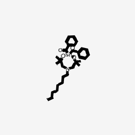 CCCCCCCCN1CC(C)(C)[O][Sn]([C](=O)c2ccccc2)([C](=O)c2ccccc2)[O]C(C)(C)C1